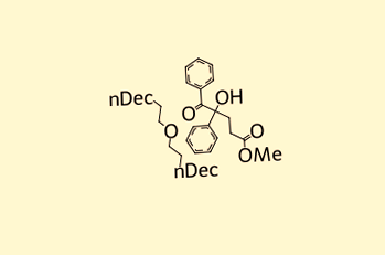 CCCCCCCCCCCCOCCCCCCCCCCCC.COC(=O)CCC(O)(C(=O)c1ccccc1)c1ccccc1